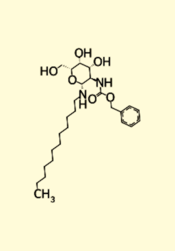 CCCCCCCCCCCCN[C@@H]1O[C@H](CO)[C@H](O)[C@H](O)[C@H]1NC(=O)OCc1ccccc1